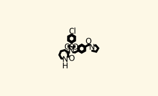 O=C1NCCCC[C@H]1N(Cc1ccc(C(=O)N2CCCC2)cc1)S(=O)(=O)c1ccc(Cl)cc1